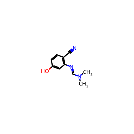 CN(C)C=Nc1cc(O)ccc1C#N